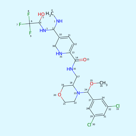 CNC(NC(O)C(F)(F)F)C1=CC=C(C(=O)NCC2COCCN2C(OC)c2cc(Cl)cc(Cl)c2)NC1